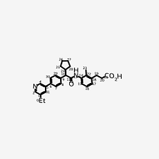 CCc1cncc(-c2ccc(C(C(=O)Nc3cccc(CCC(=O)O)c3C)C3CCCC3)cc2)c1